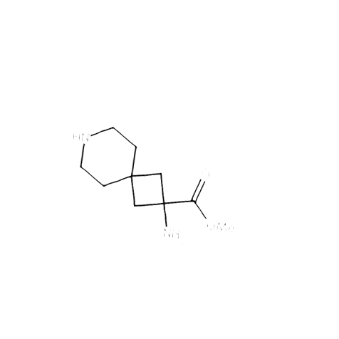 COC(=O)C1(N)CC2(CCNCC2)C1